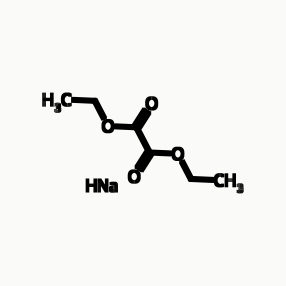 CCOC(=O)C(=O)OCC.[NaH]